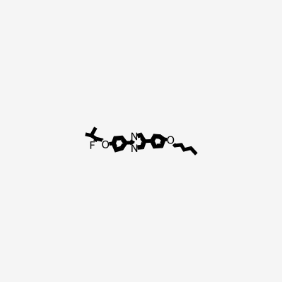 CCCCCOc1ccc(-c2cnc(-c3ccc(OCC(F)C(C)C)cc3)nc2)cc1